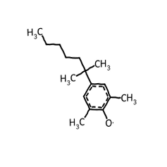 CCCCCC(C)(C)c1cc(C)c([O])c(C)c1